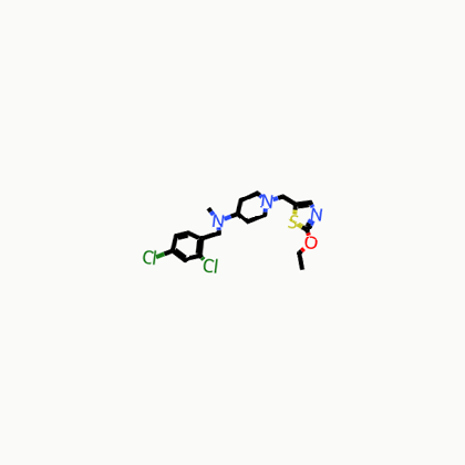 CCOc1ncc(CN2CCC(N(C)Cc3ccc(Cl)cc3Cl)CC2)s1